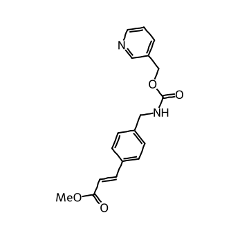 COC(=O)C=Cc1ccc(CNC(=O)OCc2cccnc2)cc1